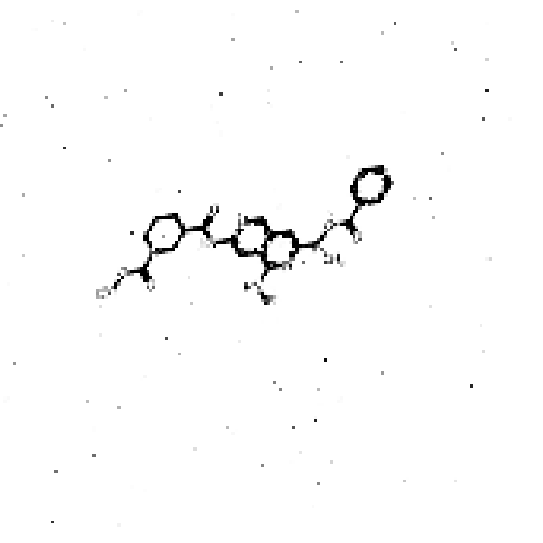 CC(C)Nc1nc([C@@H](C)OC(=O)c2ccccc2)cc2cnc(NC(=O)C3CCCN(C(=O)OC(C)(C)C)C3)cc12